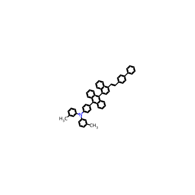 Cc1cccc(N(c2ccc(-c3c4ccccc4c(-c4ccc(/C=C/c5ccc(-c6ccccc6)cc5)c5ccccc45)c4ccccc34)cc2)c2cccc(C)c2)c1